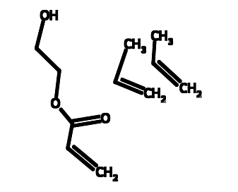 C=CC.C=CC.C=CC(=O)OCCO